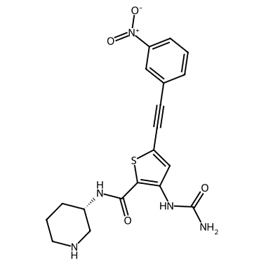 NC(=O)Nc1cc(C#Cc2cccc([N+](=O)[O-])c2)sc1C(=O)N[C@H]1CCCNC1